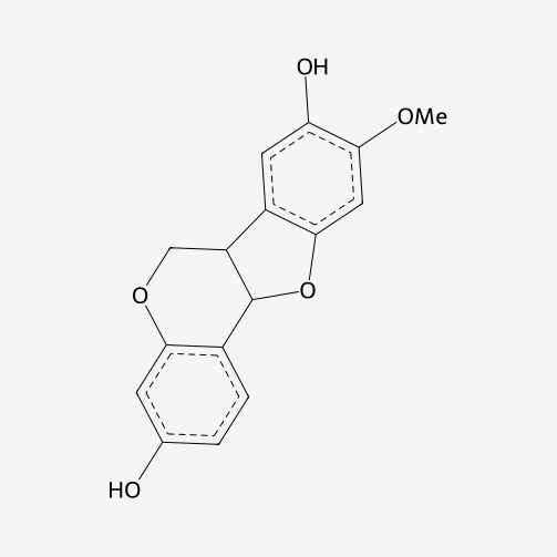 COc1cc2c(cc1O)C1COc3cc(O)ccc3C1O2